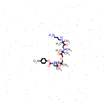 CN(CC(=O)C(C)(C)NCCCN)C(C)(C)C(=O)COCC(C)(C)OC(C)(C)CNC(=O)Oc1ccc([N+](=O)[O-])cc1